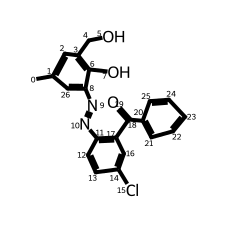 Cc1cc(CO)c(O)c(N=Nc2ccc(Cl)cc2C(=O)c2ccccc2)c1